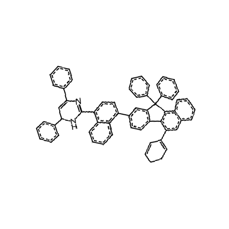 C1=CC(c2cc3ccccc3c3c2-c2ccc(-c4ccc(C5=NC(c6ccccc6)=CC(c6ccccc6)N5)c5ccccc45)cc2C3(c2ccccc2)c2ccccc2)=CCC1